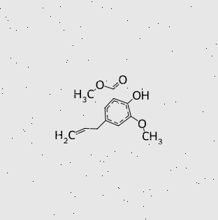 C=CCc1ccc(O)c(OC)c1.COC=O